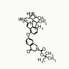 Cc1cc2c(Oc3ccc4c(c3)CN(C(=O)OC(C)(C)C)CC4=O)ccnc2n1S(C(C)C)(C(C)C)C(C)C